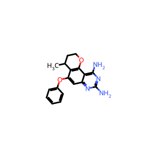 CC1CCOc2c1c(Oc1ccccc1)cc1nc(N)nc(N)c21